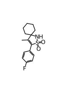 CC1=C(c2ccc(F)cc2)S(=O)(=O)NC12CCCCC2